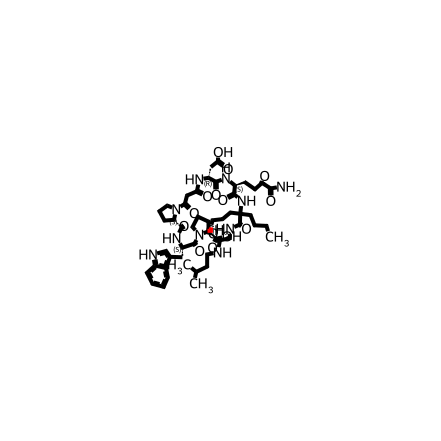 CCCCC(CCCC)(NC(=O)[C@H](CCC(=O)C(N)=O)NC(=O)[C@@H](CC(=O)O)NC(=O)CC(=O)N1CCC[C@H]1C(=O)N[C@@H](Cc1c[nH]c2ccccc12)C(=O)N1CCC[C@H]1C(=O)O)C(=O)NCC(=O)NCCC(C)C